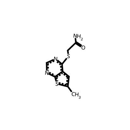 Cc1cc2c(SCC(N)=O)ncnc2s1